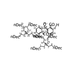 CCCCCCCCCCCC[N+](CCCCCCCCCCCC)(CCCCCCCCCCCC)CCCCCCCCCCCC.CCCCCCCCCCCC[N+](CCCCCCCCCCCC)(CCCCCCCCCCCC)CCCCCCCCCCCC.O=C(O)c1ccccc1[S+]([O-])c1ccccc1C(=O)O